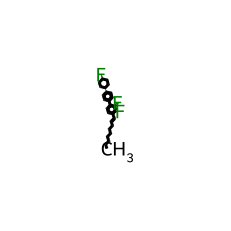 CCCCCCCC=Cc1ccc(-c2ccc([C@H]3CC[C@H](F)CC3)cc2)c(F)c1F